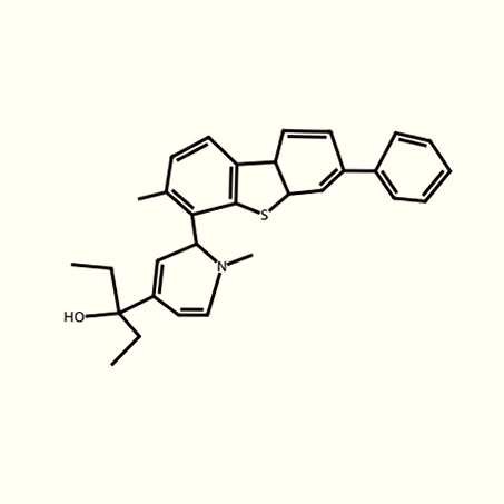 CCC(O)(CC)C1=CC(c2c(C)ccc3c2SC2C=C(c4ccccc4)C=CC32)N(C)C=C1